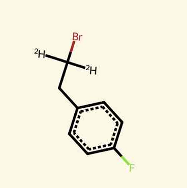 [2H]C([2H])(Br)Cc1ccc(F)cc1